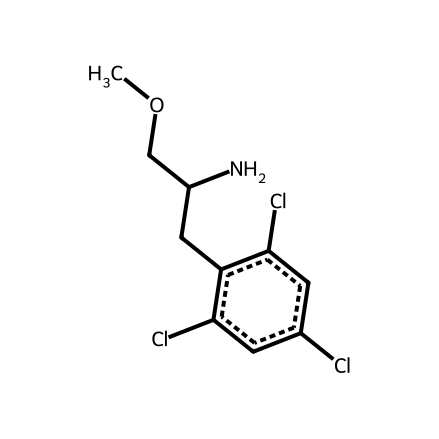 COCC(N)Cc1c(Cl)cc(Cl)cc1Cl